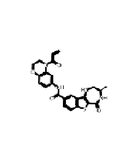 C=CC(=O)N1CCOc2ccc(NC(=O)c3ccc4sc5c(c4c3)NC[C@@H](C)NC5=O)cc21